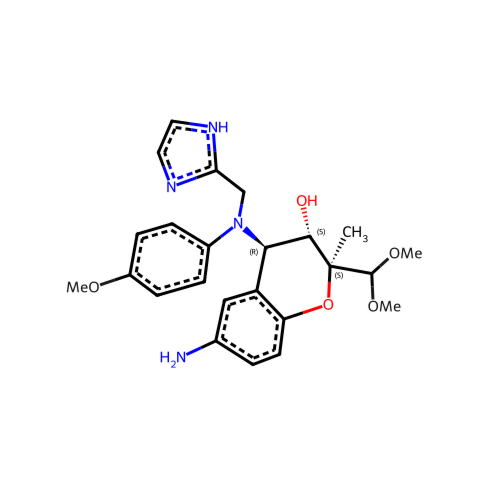 COc1ccc(N(Cc2ncc[nH]2)[C@@H]2c3cc(N)ccc3O[C@](C)(C(OC)OC)[C@H]2O)cc1